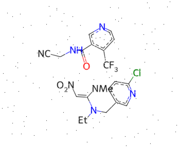 CCN(Cc1ccc(Cl)nc1)/C(=C/[N+](=O)[O-])NC.N#CCNC(=O)c1cnccc1C(F)(F)F